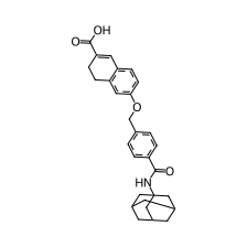 O=C(O)C1=Cc2ccc(OCc3ccc(C(=O)NC45CC6CC(CC(C6)C4)C5)cc3)cc2CC1